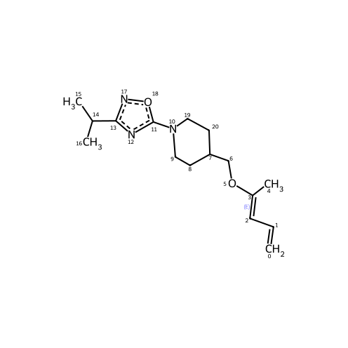 C=C/C=C(\C)OCC1CCN(c2nc(C(C)C)no2)CC1